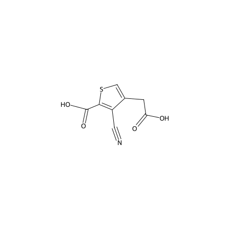 N#Cc1c(CC(=O)O)csc1C(=O)O